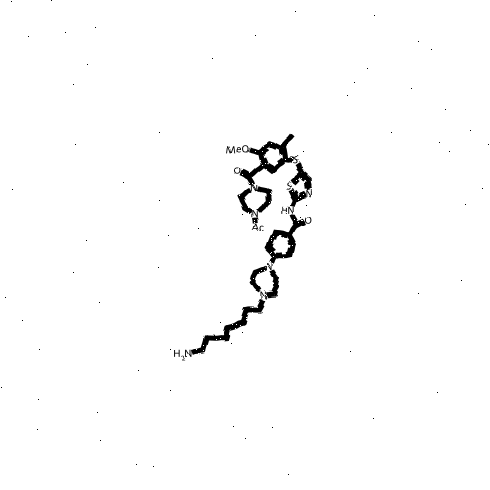 COc1cc(C)c(Sc2cnc(NC(=O)c3ccc(N4CCN(CCCCCCCN)CC4)cc3)s2)cc1C(=O)N1CCN(C(C)=O)CC1